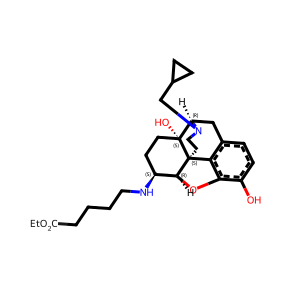 CCOC(=O)CCCCN[C@H]1CC[C@@]2(O)[C@H]3Cc4ccc(O)c5c4[C@@]2(CCN3CC2CC2)[C@H]1O5